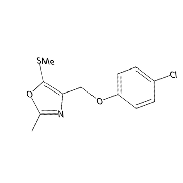 CSc1oc(C)nc1COc1ccc(Cl)cc1